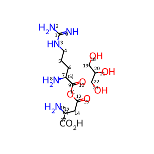 N=C(N)NCCC[C@H](N)C(=O)OC(=O)C[C@H](N)C(=O)O.OCC(O)CO